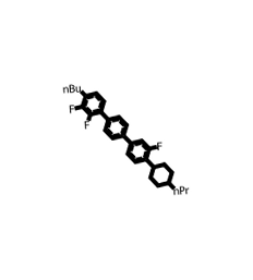 CCCCc1ccc(-c2ccc(-c3ccc(C4CCC(CCC)CC4)c(F)c3)cc2)c(F)c1F